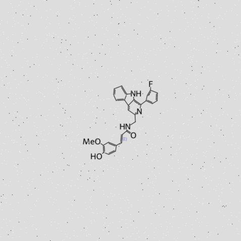 COc1cc(/C=C/C(=O)NCc2cc3c([nH]c4ccccc43)c(-c3cccc(F)c3)n2)ccc1O